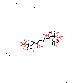 CC(C)(CCC(O)CCC(O)CCC(C)(C)S(=O)(=O)O)S(=O)(=O)O